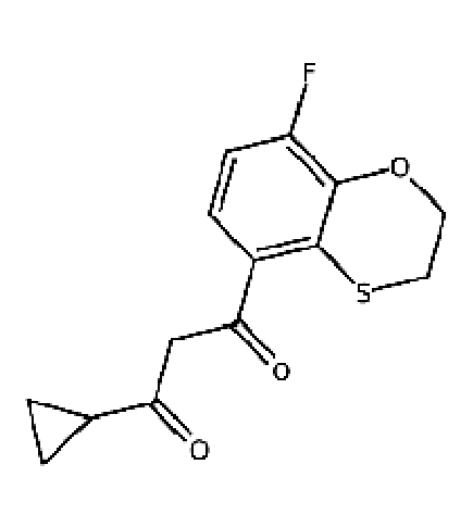 O=C(CC(=O)C1CC1)c1ccc(F)c2c1SCCO2